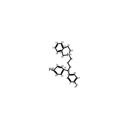 Fc1ccc(C(CCCN2CCc3ccccc3C2)c2ccc(F)cc2)cc1